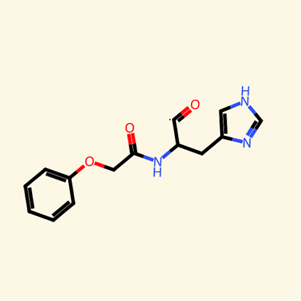 O=[C]C(Cc1c[nH]cn1)NC(=O)COc1ccccc1